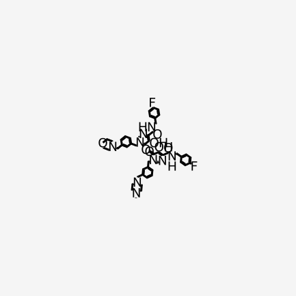 CN1CCN(Cc2cccc(Cn3cnc(C(=O)NCc4ccc(F)cc4)c(O)c3=O)c2)CC1.O=C(NCc1ccc(F)cc1)c1ncn(Cc2cccc(CN3CCOCC3)c2)c(=O)c1O